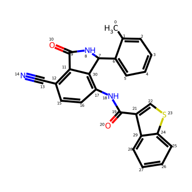 Cc1ccccc1C1NC(=O)c2c(C#N)ccc(NC(=O)c3csc4ccccc34)c21